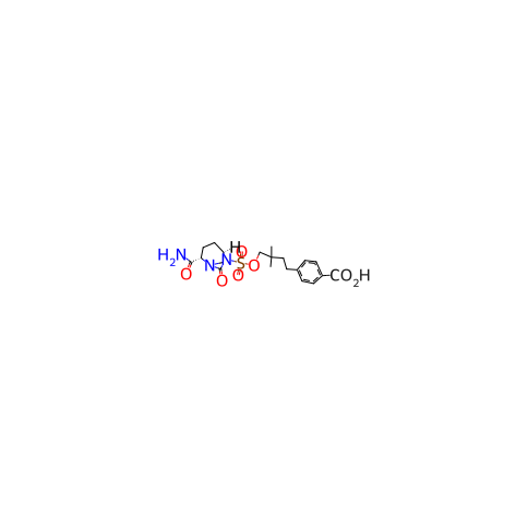 CC(C)(CCc1ccc(C(=O)O)cc1)COS(=O)(=O)N1C(=O)N2C[C@H]1CC[C@H]2C(N)=O